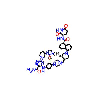 CN1CCN(C2CCCN(c3nnc(C(N)=O)c(Nc4ccc(N5CCN(CC6CCN(c7cccc8c(C(=O)NC9CCC(=O)NC9=O)cccc78)CC6)CC5)c(F)c4)n3)C2)C1=O